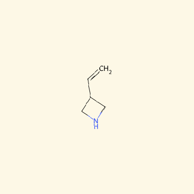 C=CC1CNC1